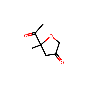 CC(=O)C1(C)CC(=O)CO1